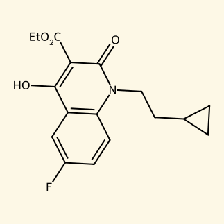 CCOC(=O)c1c(O)c2cc(F)ccc2n(CCC2CC2)c1=O